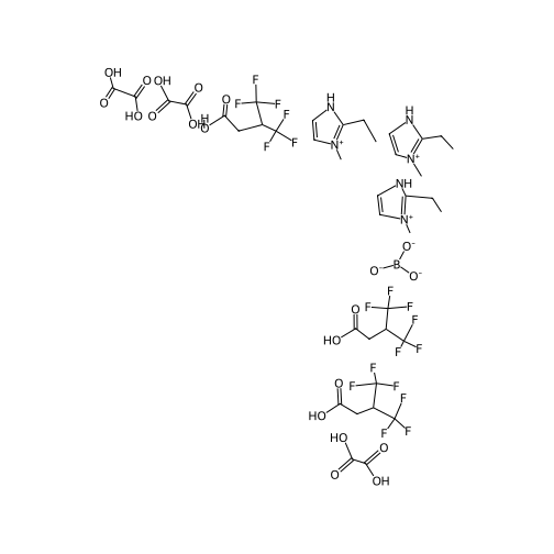 CCc1[nH]cc[n+]1C.CCc1[nH]cc[n+]1C.CCc1[nH]cc[n+]1C.O=C(O)C(=O)O.O=C(O)C(=O)O.O=C(O)C(=O)O.O=C(O)CC(C(F)(F)F)C(F)(F)F.O=C(O)CC(C(F)(F)F)C(F)(F)F.O=C(O)CC(C(F)(F)F)C(F)(F)F.[O-]B([O-])[O-]